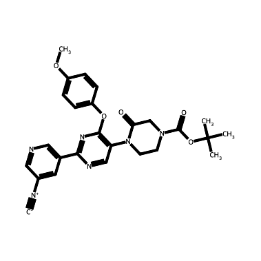 [C-]#[N+]c1cncc(-c2ncc(N3CCN(C(=O)OC(C)(C)C)CC3=O)c(Oc3ccc(OC)cc3)n2)c1